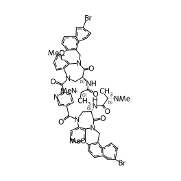 CN[C@@H](C)C(=O)N[C@H]1CN(C(=O)c2ccc(C(=O)N3C[C@H](NC(=O)[C@H](C)NC)C(=O)N(Cc4c(OC)ccc5cc(Br)ccc45)c4ccccc43)nc2)c2ccccc2N(Cc2c(OC)ccc3cc(Br)ccc23)C1=O